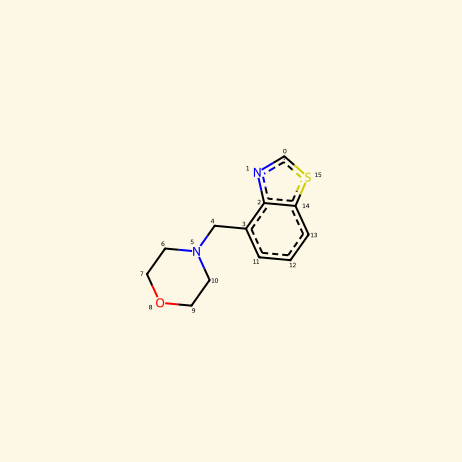 [c]1nc2c(CN3CCOCC3)cccc2s1